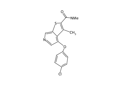 CNC(=O)c1sc2cncc(Oc3ccc(Cl)cc3)c2c1C